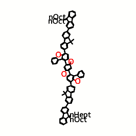 CCCCCCCCC1(CCCCCCC)c2ccccc2-c2ccc(-c3ccc4c(c3)C(C)(C)c3cc(-c5cc6oc7cc8c(cc7c6c6c5oc5ccccc56)oc5cc(-c6ccc7c(c6)C(C)(C)c6cc(-c9ccc%10c(c9)C(CCCCCCCC)(CCCCCCCC)c9ccccc9-%10)ccc6-7)c6oc7ccccc7c6c58)ccc3-4)cc21